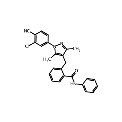 Cc1nn(-c2ccc(C#N)c(Cl)c2)c(C)c1Cc1ccccc1C(=O)Nc1ccccc1